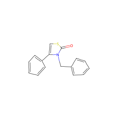 O=c1scc(-c2ccccc2)n1Cc1ccccc1